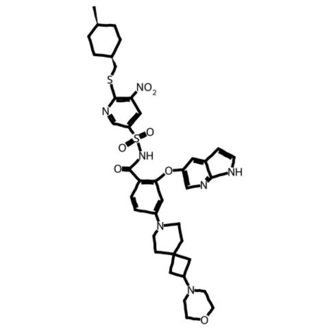 C[C@H]1CC[C@@H](CSc2ncc(S(=O)(=O)NC(=O)c3ccc(N4CCC5(CC4)CC(N4CCOCC4)C5)cc3Oc3cnc4[nH]ccc4c3)cc2[N+](=O)[O-])CC1